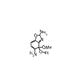 CCOC1(OC)C(N)=CC=C2OC(N)N=C21